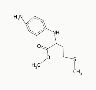 COC(=O)C(CCSC)Nc1ccc(N)cc1